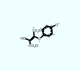 CCOC(=O)/C(O)=C(\Oc1ccc(Cl)cc1)C(=O)OCC